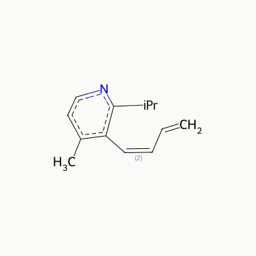 C=C/C=C\c1c(C)ccnc1C(C)C